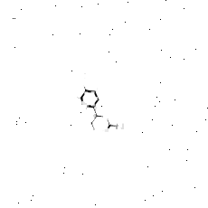 CCSc1ccc(C(CO)OC(N)=O)nc1